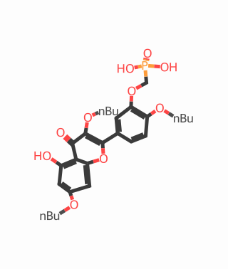 CCCCOc1cc(O)c2c(=O)c(OCCCC)c(-c3ccc(OCCCC)c(OCP(=O)(O)O)c3)oc2c1